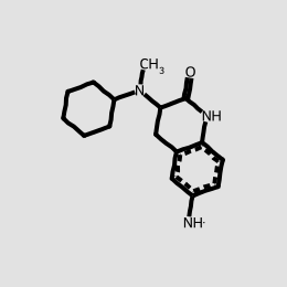 CN(C1CCCCC1)C1Cc2cc([NH])ccc2NC1=O